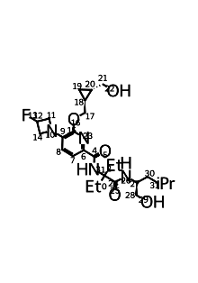 CCC(CC)(NC(=O)c1ccc(N2CC(F)C2)c(OC[C@H]2C[C@@H]2CO)n1)C(=O)N[C@H](CO)CC(C)C